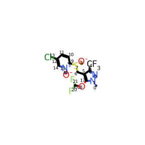 Cn1nc(C(F)(F)F)c(C[S+]([O-])c2ccc(Cl)c[n+]2[O-])c1OC(F)F